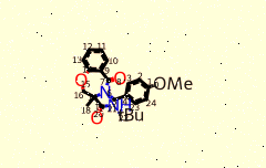 COc1ccc(CN2C(=O)c3ccccc3OCC2(C)C(=O)NC(C)(C)C)cc1